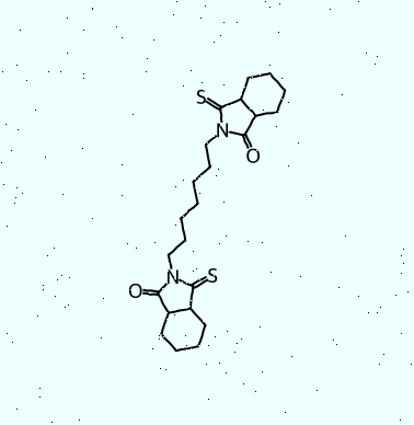 O=C1C2CCCCC2C(=S)N1CCCCCCCN1C(=O)C2CCCCC2C1=S